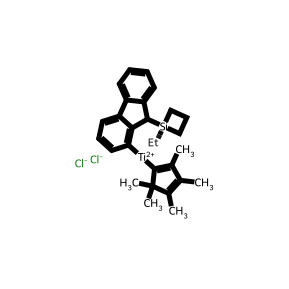 CC[Si]1(C2c3ccccc3-c3ccc[c]([Ti+2][C]4=C(C)C(C)=C(C)C4(C)C)c32)CCC1.[Cl-].[Cl-]